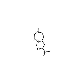 CN(C)C(=O)CC1CCNCCN1C